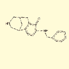 O=c1c(NCc2ccccc2)ccc2n1CC1CNCC2C1